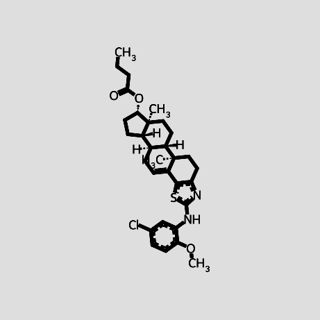 CCCC(=O)O[C@H]1CC[C@H]2[C@@H]3CC=C4c5sc(Nc6cc(Cl)ccc6OC)nc5CC[C@]4(C)[C@H]3CC[C@]12C